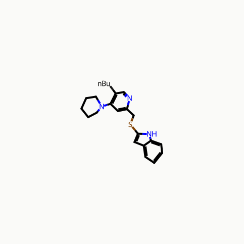 CCCCc1cnc(CSc2cc3ccccc3[nH]2)cc1N1CCCCC1